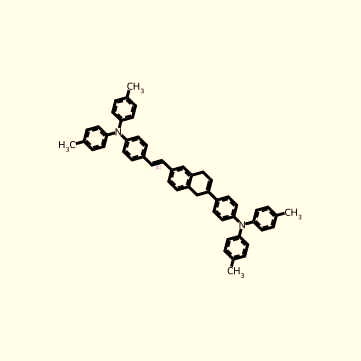 Cc1ccc(N(c2ccc(C)cc2)c2ccc(/C=C/c3ccc4c(c3)CC=C(c3ccc(N(c5ccc(C)cc5)c5ccc(C)cc5)cc3)C4)cc2)cc1